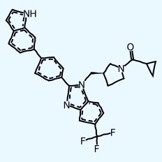 O=C(C1CC1)N1CC[C@@H](Cn2c(-c3ccc(-c4ccc5cc[nH]c5c4)cc3)nc3cc(C(F)(F)F)ccc32)C1